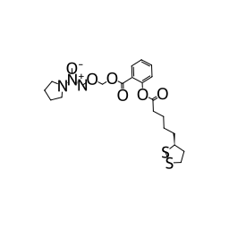 O=C(CCCC[C@H]1CCSS1)Oc1ccccc1C(=O)OCO/N=[N+](\[O-])N1CCCC1